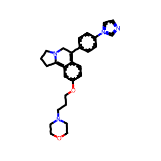 c1cn(-c2ccc(C3=c4ccc(OCCCN5CCOCC5)cc4=C4CCCN4C3)cc2)cn1